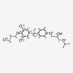 CC(C)OCC(O)COc1ccc(C(C)(C)c2cc(Cl)c(OCCCCl)c(Cl)c2)cc1